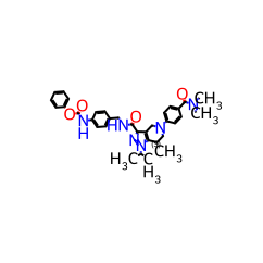 CC(C)n1nc(C(=O)NCc2ccc(NC(=O)Oc3ccccc3)cc2)c2c1[C@@H](C)CN(c1ccc(C(=O)N(C)C)cc1)C2